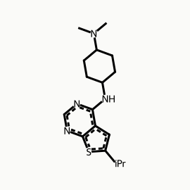 CC(C)c1cc2c(NC3CCC(N(C)C)CC3)ncnc2s1